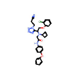 N#CCCn1nnnc1C(COc1ccccc1Cl)N(CC(=O)Nc1ccc(Oc2ccccc2)cc1)C1CCC1